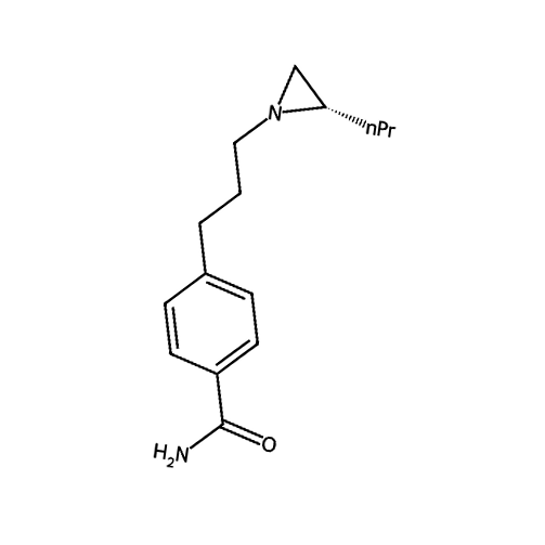 CCC[C@H]1CN1CCCc1ccc(C(N)=O)cc1